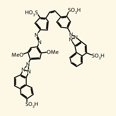 COc1cc(-n2n3c4ccc5cc(S(=O)(=O)O)ccc5c4n23)c(OC)cc1N=Nc1ccc(/C=C\c2ccc(-n3n4c5cc(S(=O)(=O)O)c6ccccc6c5n34)cc2S(=O)(=O)O)c(S(=O)(=O)O)c1